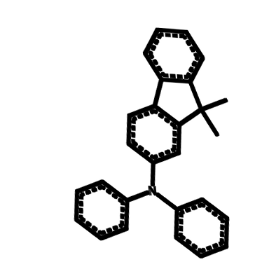 CC1(C)c2ccccc2-c2ccc(N(c3ccccc3)c3ccccc3)cc21